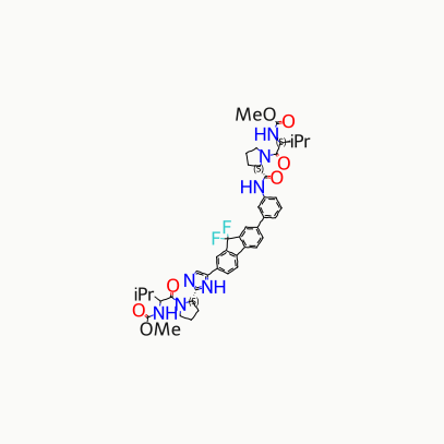 COC(=O)NC(C(=O)N1CCC[C@H]1c1ncc(-c2ccc3c(c2)C(F)(F)c2cc(-c4cccc(NC(=O)[C@@H]5CCCN5C(=O)[C@@H](NC(=O)OC)C(C)C)c4)ccc2-3)[nH]1)C(C)C